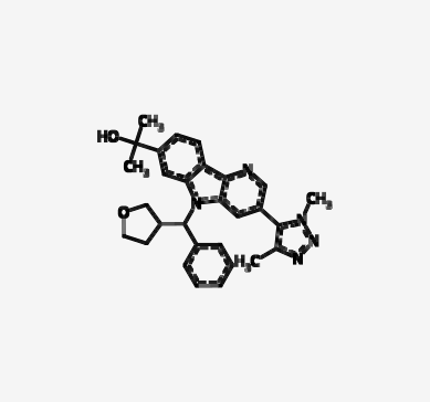 Cc1nnn(C)c1-c1cnc2c3ccc(C(C)(C)O)cc3n(C(c3ccccc3)C3CCOC3)c2c1